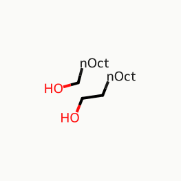 CCCCCCCCCCO.CCCCCCCCCO